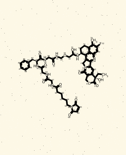 CC[C@@]1(O)C(=O)OCc2c1cc1n(c2=O)Cc2c-1nc1cc(F)c(C)c3c1c2[C@@H](NC(O)COCNC(=O)CNC(=O)[C@H](Cc1ccccc1)NC(=O)CNC(=O)CNC(=O)CCCCCN1C(=O)C=CC1=O)CC3